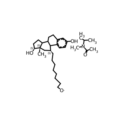 CC(=O)N(C)C(C)C.C[C@]12C[C@H](CCCCCCCC[O])C3c4ccc(O)cc4CCC3C1CC[C@@H]2O